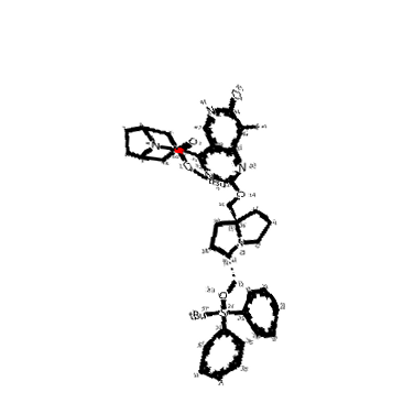 CC(C)(C)OC(=O)N1C2CCC1CN(c1nc(OC[C@@]34CCCN3[C@H](CO[Si](c3ccccc3)(c3ccccc3)C(C)(C)C)CC4)nc3c(F)c(Cl)ncc13)C2